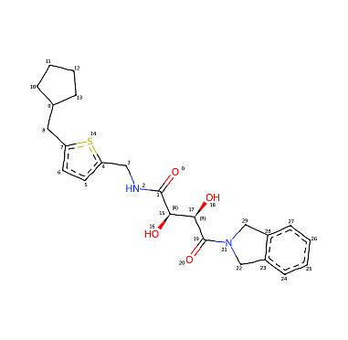 O=C(NCc1ccc(CC2CCCC2)s1)[C@H](O)[C@@H](O)C(=O)N1Cc2ccccc2C1